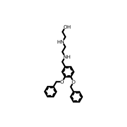 OCCNCCNCc1ccc(OCc2ccccc2)c(OCc2ccccc2)c1